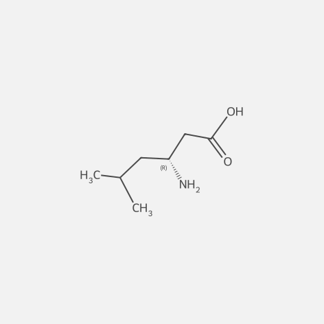 CC(C)C[C@@H](N)CC(=O)O